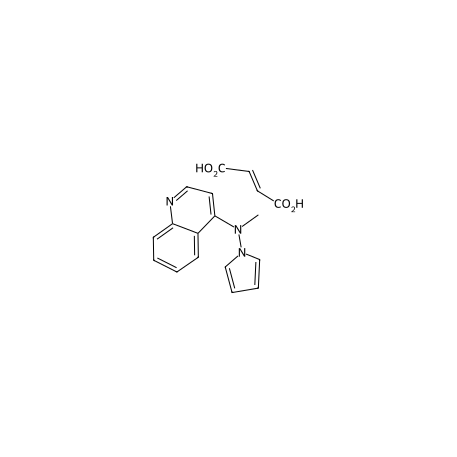 CN(c1ccnc2ccccc12)n1cccc1.O=C(O)C=CC(=O)O